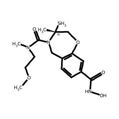 COCCN(C)C(=O)N1Cc2ccc(C(=O)NO)cc2OC[C@@]1(C)[SiH3]